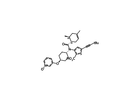 CC1=CC[C@H](C(=O)N(c2cc(C#CC(C)(C)C)sc2C(=O)O)[C@H]2CC[C@H](Oc3ccc[n+]([O-])c3)CC2)[C@@H](C)C1